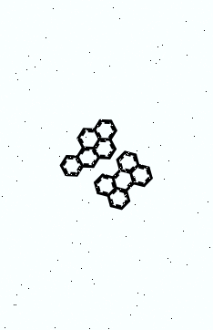 c1cc2cccc3c4cccc5cccc(c(c1)c23)c54.c1ccc2c(c1)cc1ccc3cccc4ccc2c1c34